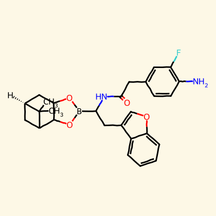 CC1(C)C2C[C@H]1CC1OB(C(Cc3coc4ccccc34)NC(=O)Cc3ccc(N)c(F)c3)OC12